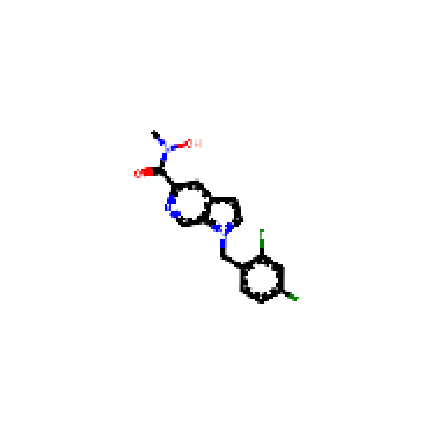 CN(O)C(=O)c1cc2ccn(Cc3ccc(F)cc3F)c2cn1